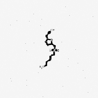 C#CCC1CCC(CS(=O)(=O)CC=CCCC(F)(F)F)O1